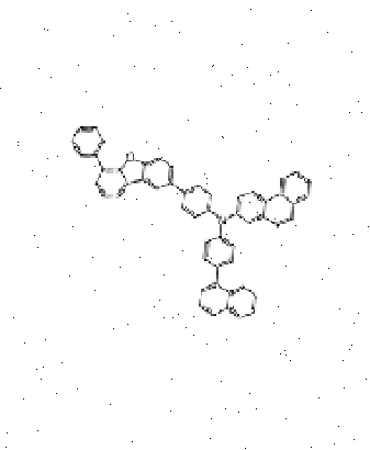 c1ccc(-c2cccc3c2oc2ccc(-c4ccc(N(c5ccc(-c6cccc7ccccc67)cc5)c5ccc6c(ccc7ccccc76)c5)cc4)cc23)cc1